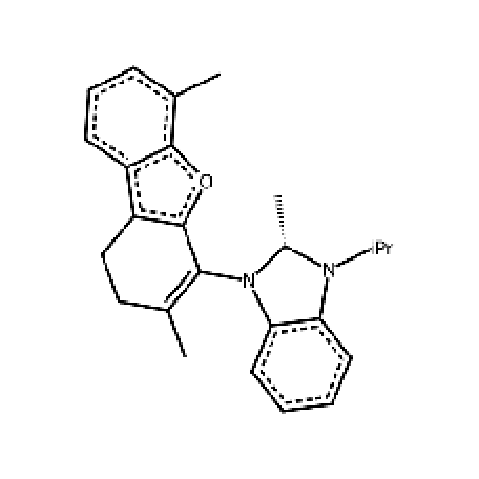 CC1=C(N2c3ccccc3N(C(C)C)[C@H]2C)c2oc3c(C)cccc3c2CC1